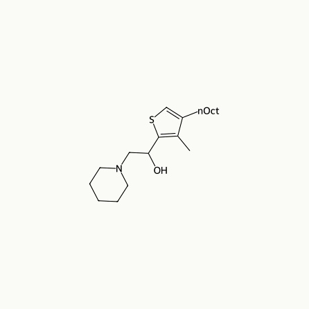 CCCCCCCCc1csc(C(O)CN2CCCCC2)c1C